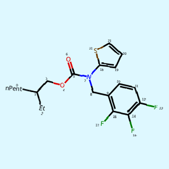 CCCCCC(CC)COC(=O)N(Cc1ccc(F)c(F)c1F)c1cccs1